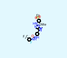 CCS(=O)(=O)c1ccc(OC)c(Nc2ncc3c(-c4ccc(NC(=O)Nc5cc(C(F)(F)F)ccc5F)cc4)nn(C)c3n2)c1